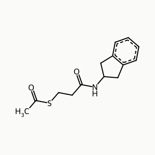 CC(=O)SCCC(=O)NC1Cc2ccccc2C1